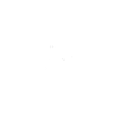 OC[C@H]1C[C@]1(CO)c1cccc(Cl)n1